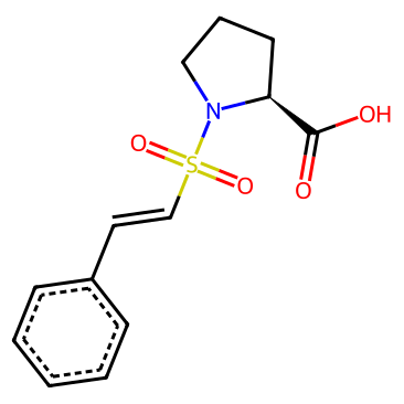 O=C(O)[C@@H]1CCCN1S(=O)(=O)C=Cc1ccccc1